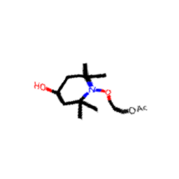 CC(=O)OCON1C(C)(C)CC(O)CC1(C)C